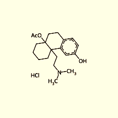 CC(=O)OC12CCCCC1(CCN(C)C)c1cc(O)ccc1CC2.Cl